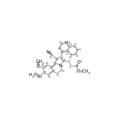 COC(=O)CCC1=C(c2ccnc3ccccc23)C(C#N)C2=C3C=C(OC)C(OC)C=C3CCN12